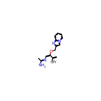 C=C(CCC)/C(=C\N=C(/C)N)OCc1cn2ccccc2n1